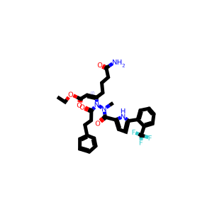 CCOC(=O)/C=C(/CCCC(N)=O)N(C(=O)CCc1ccccc1)N(C)C(=O)c1ccc(-c2ccccc2C(F)(F)F)[nH]1